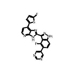 Fc1ccc(-c2ccnc3[nH]c(-c4n[nH]c5ccc(-c6cncnc6)c(F)c45)nc23)s1